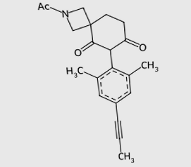 CC#Cc1cc(C)c(C2C(=O)CCC3(CN(C(C)=O)C3)C2=O)c(C)c1